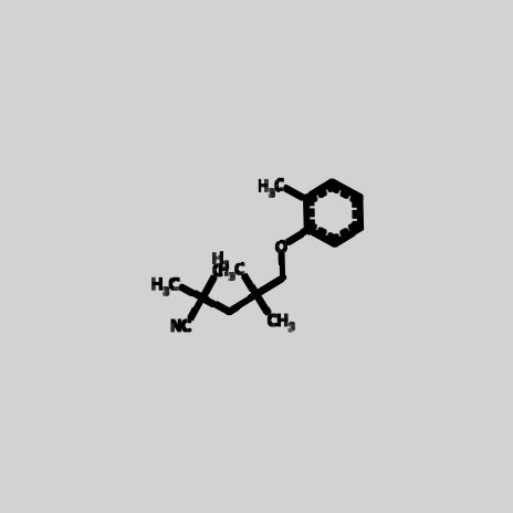 Cc1ccccc1OCC(C)(C)CC(C)(C)C#N